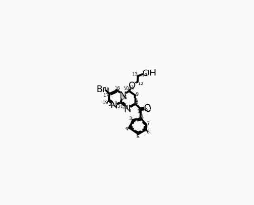 O=C(c1ccccc1)C1CC(OCCO)N2C=C(Br)C=NC2=N1